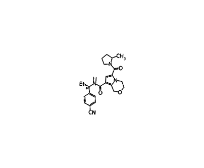 CC[C@@H](NC(=O)c1cc(C(=O)N2CCCC2C)n2c1COCC2)c1ccc(C#N)cc1